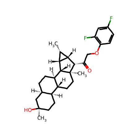 C[C@H]1[C@@H]2[C@H]1[C@H](C(=O)COc1ccc(F)cc1F)[C@@]1(C)CC[C@H]3[C@@H](CC[C@@H]4C[C@](C)(O)CC[C@@H]43)[C@H]21